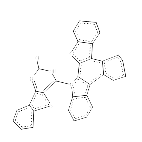 ClC1N=c2c(sc3ccccc23)=C(n2c3ccccc3c3c4ccccc4c4c5ccccc5sc4c32)N1